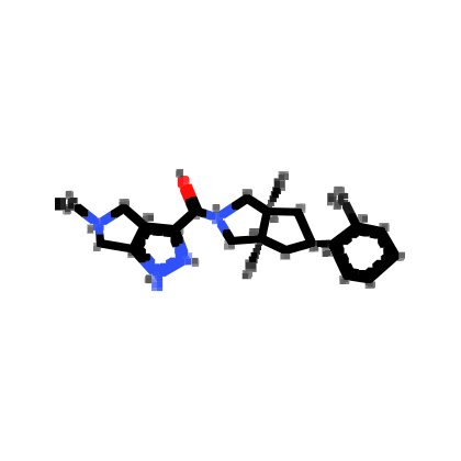 CN1Cc2[nH]nc(C(=O)N3C[C@H]4C[C@H](c5ccccc5C(F)(F)F)C[C@H]4C3)c2C1